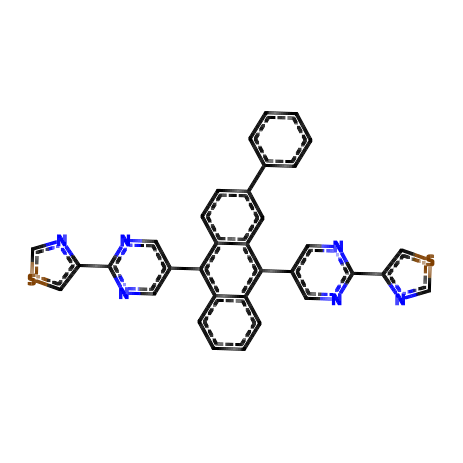 c1ccc(-c2ccc3c(-c4cnc(-c5cscn5)nc4)c4ccccc4c(-c4cnc(-c5cscn5)nc4)c3c2)cc1